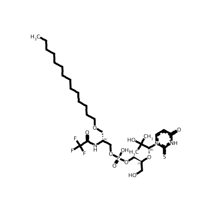 CCCCCCCCCCCCCCOC[C@H](COP(=O)(O)OC[C@H](CO)O[C@@H](n1ccc(=O)[nH]c1=S)C(C)(C)O)NC(=O)C(F)(F)F